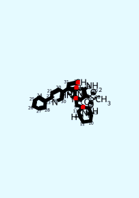 Cc1n[nH]c(CC(=O)N2[C@@H]3CC[C@H]2C[C@H](c2nc4c(-c5ccc(-c6ccccc6)nc5)ccn4c(N)c2S(C)(=O)=O)C3)n1